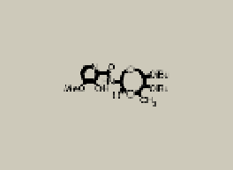 COc1ccnc(C(=O)NC2COCC(OCC(C)C)C(OCC(C)C)C(C)OC2=O)c1O